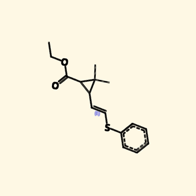 CCOC(=O)C1C(/C=C/Sc2ccccc2)C1(C)C